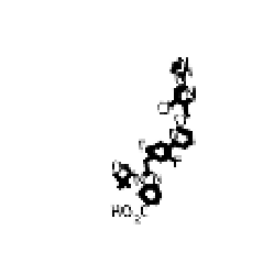 CC1(C)COC[C@H]1n1c(Cc2cc(F)c(-c3cccc(OCc4cnc(-n5ccnn5)cc4Cl)n3)cc2F)nc2ccc(C(=O)O)cc21